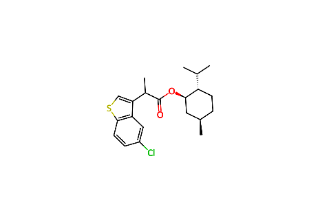 CC(C(=O)O[C@@H]1C[C@H](C)CC[C@H]1C(C)C)c1csc2ccc(Cl)cc12